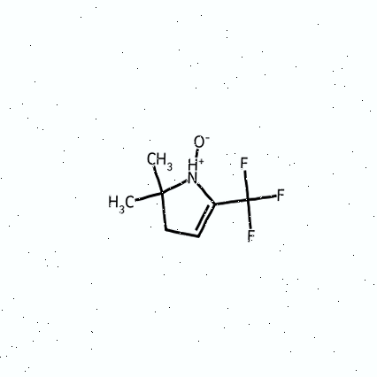 CC1(C)CC=C(C(F)(F)F)[NH+]1[O-]